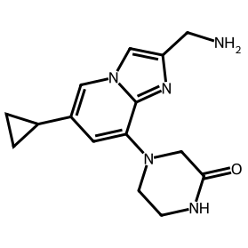 NCc1cn2cc(C3CC3)cc(N3CCNC(=O)C3)c2n1